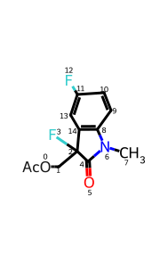 CC(=O)OCC1(F)C(=O)N(C)c2ccc(F)cc21